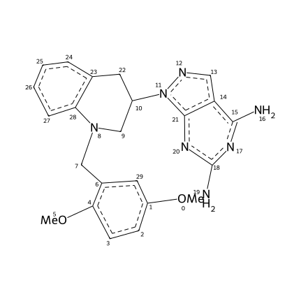 COc1ccc(OC)c(CN2CC(n3ncc4c(N)nc(N)nc43)Cc3ccccc32)c1